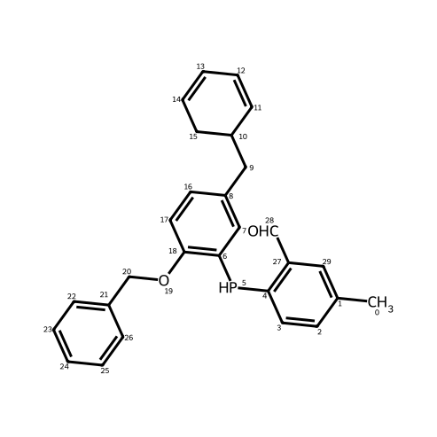 Cc1ccc(Pc2cc(CC3C=CC=CC3)ccc2OCc2ccccc2)c(C=O)c1